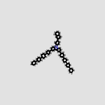 c1ccc(-c2ccc(-c3ccc(-c4ccc(-c5ccc6c(c5)c5cc(-c7ccc(-c8ccc(-c9ccc(-c%10ccccc%10)cc9)cc8)cc7)ccc5n6-c5ccc(-c6ccc7ccccc7c6)cc5)cc4)cc3)cc2)cc1